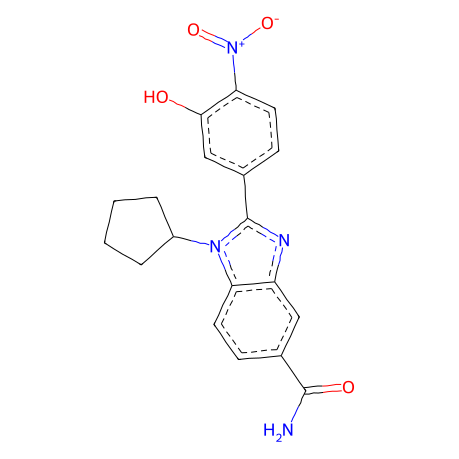 NC(=O)c1ccc2c(c1)nc(-c1ccc([N+](=O)[O-])c(O)c1)n2C1CCCC1